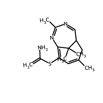 C=C(N)SC1=C2N=C(C)N=CC(CC(C)=C1)C2(C)C